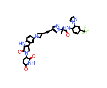 CC(C)(C(=O)Nc1ccc(C(F)(F)F)cc1-n1cccn1)n1cc(C#CC2CN(c3ccc4[nH]c5c(c4c3)CN(C3CCC(=O)NC3=O)C5=O)C2)cn1